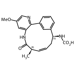 COc1cnc2c(c1)NC(=O)[C@H](C)C=CC[C@H](NC(=O)O)c1cccc-2c1